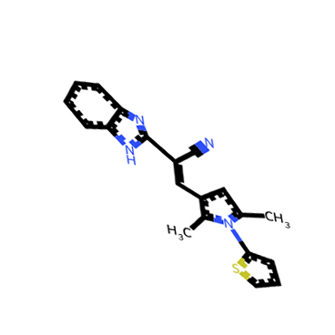 Cc1cc(C=C(C#N)c2nc3ccccc3[nH]2)c(C)n1-c1cccs1